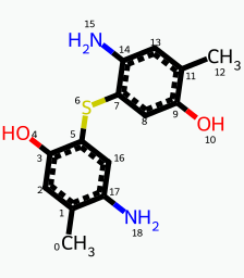 Cc1cc(O)c(Sc2cc(O)c(C)cc2N)cc1N